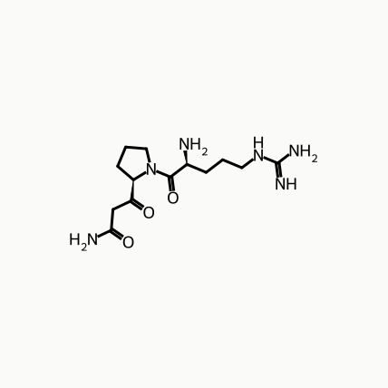 N=C(N)NCCC[C@H](N)C(=O)N1CCC[C@@H]1C(=O)CC(N)=O